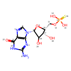 Nc1nc2c(ncn2[C@@H]2O[C@H](COP(O)(O)=S)[C@H](O)C2O)c(=O)[nH]1